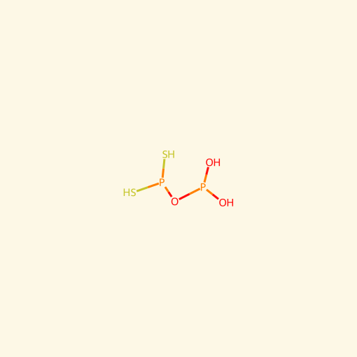 OP(O)OP(S)S